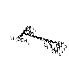 CN(C)CCCC(CCCN)CC(O)COCCCCOCC(O)CN(CCCN(C)C)CCCN(C)C